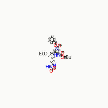 CCOC(=O)C(CCCCc1noc(=O)[nH]1)[C@@H]1CN(C(=O)OCc2ccccc2)C[C@H]1NC(=O)OC(C)(C)C